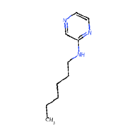 CCCCCCNc1cnccn1